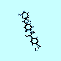 CCOc1ccc(C(=O)Nc2ccc(C[C@]3(CC)CNCCO3)cc2)cn1